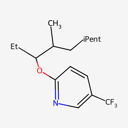 CCCC(C)CC(C)C(CC)Oc1ccc(C(F)(F)F)cn1